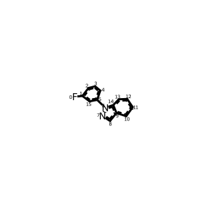 Fc1cccc(-n2ncc3c[c]ccc32)c1